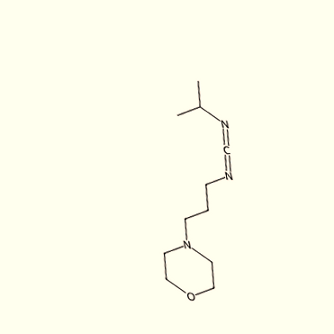 CC(C)N=C=NCCCN1CCOCC1